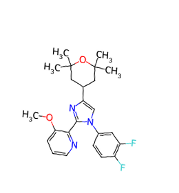 COc1cccnc1-c1nc(C2CC(C)(C)OC(C)(C)C2)cn1-c1ccc(F)c(F)c1